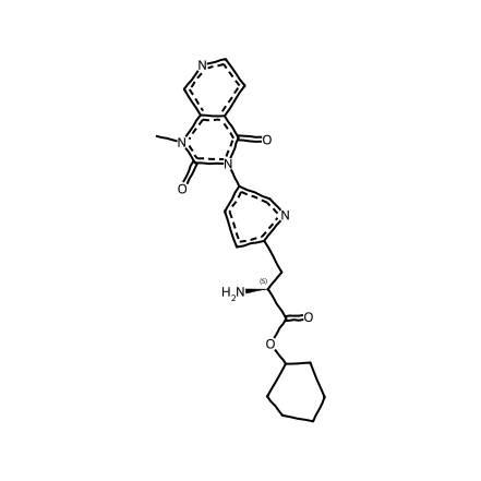 Cn1c(=O)n(-c2ccc(C[C@H](N)C(=O)OC3CCCCC3)nc2)c(=O)c2ccncc21